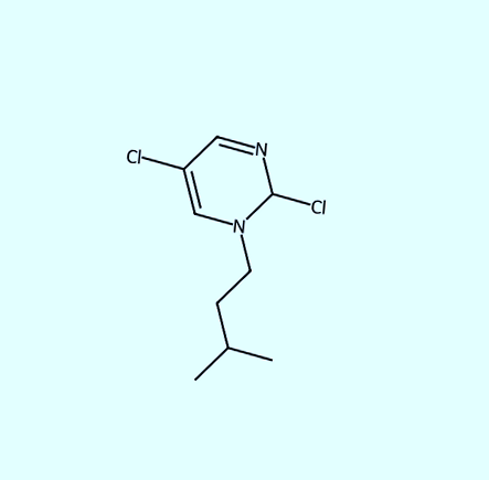 CC(C)CCN1C=C(Cl)C=NC1Cl